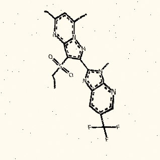 CCS(=O)(=O)c1c(-c2nc3cc(C(F)(F)F)cnc3n2C)nn2c(C)cc(C)nc12